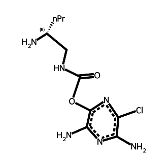 CCC[C@@H](N)CNC(=O)Oc1nc(Cl)c(N)nc1N